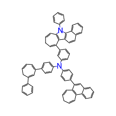 C1=CCC(c2ccccc2)=CC(c2ccc(N(c3ccc(-c4cc5ccccc5c5c4C=CCC=C5)cc3)c3cccc(C4=CCC=Cc5c4c4ccc6ccccc6c4n5-c4ccccc4)c3)cc2)=C1